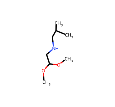 COC(CNCC(C)C)OC